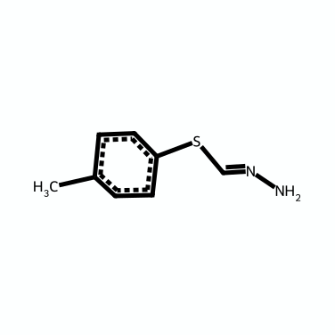 Cc1ccc(S/C=N/N)cc1